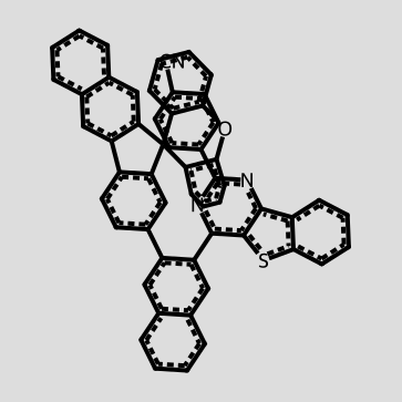 N#Cc1ccc(-c2nc(-c3cc4ccccc4cc3-c3ccc4c(c3)C3(c5ccccc5Oc5ccccc53)c3cc5ccccc5cc3-4)c3sc4ccccc4c3n2)cc1